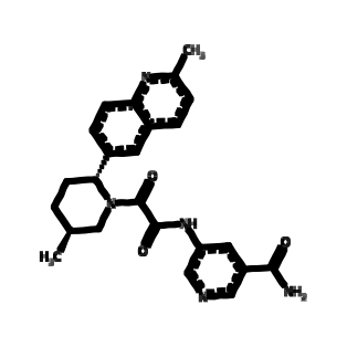 Cc1ccc2cc([C@H]3CC[C@H](C)CN3C(=O)C(=O)Nc3cncc(C(N)=O)c3)ccc2n1